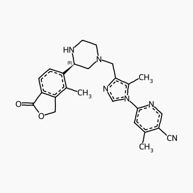 Cc1cc(-n2cnc(CN3CCN[C@H](c4ccc5c(c4C)COC5=O)C3)c2C)ncc1C#N